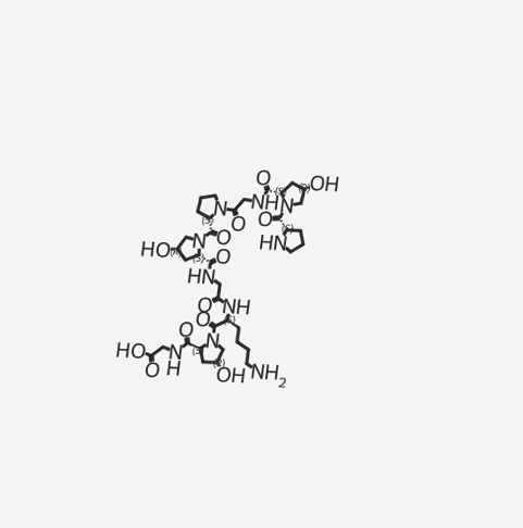 NCCCC[C@H](NC(=O)CNC(=O)[C@@H]1C[C@@H](O)CN1C(=O)[C@@H]1CCCN1C(=O)CNC(=O)[C@@H]1C[C@@H](O)CN1C(=O)[C@@H]1CCCN1)C(=O)N1C[C@H](O)C[C@H]1C(=O)NCC(=O)O